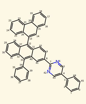 c1ccc(-c2cnc(-c3ccc4c(-c5cc6ccccc6c6ccccc56)c5ccccc5c(-c5ccccc5)c4c3)nc2)cc1